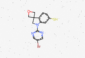 Sc1ccc2c(c1)N(c1ncc(Br)cn1)CC21COC1